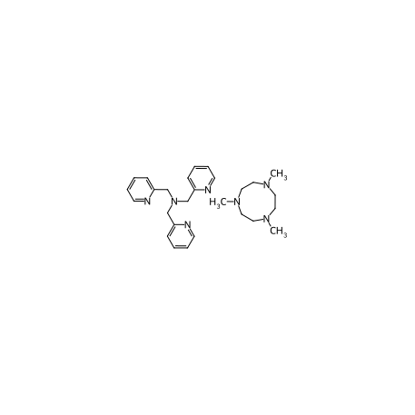 CN1CCN(C)CCN(C)CC1.c1ccc(CN(Cc2ccccn2)Cc2ccccn2)nc1